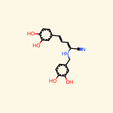 N#CC(=CC=Cc1ccc(O)c(O)c1)NCc1ccc(O)c(O)c1